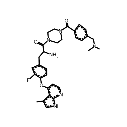 Cc1c[nH]c2nccc(Oc3ccc(CC(N)C(=O)N4CCN(C(=O)c5ccc(CN(C)C)cc5)CC4)cc3F)c12